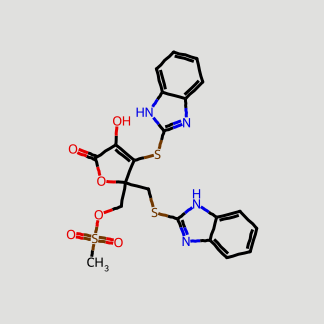 CS(=O)(=O)OCC1(CSc2nc3ccccc3[nH]2)OC(=O)C(O)=C1Sc1nc2ccccc2[nH]1